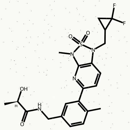 Cc1ccc(CNC(=O)[C@@H](C)O)cc1-c1ccc2c(n1)N(C)S(=O)(=O)N2CC1CC1(F)F